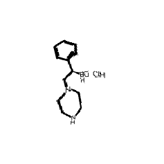 Cl.Cl.O[C@@H](CN1CCNCC1)c1ccccc1